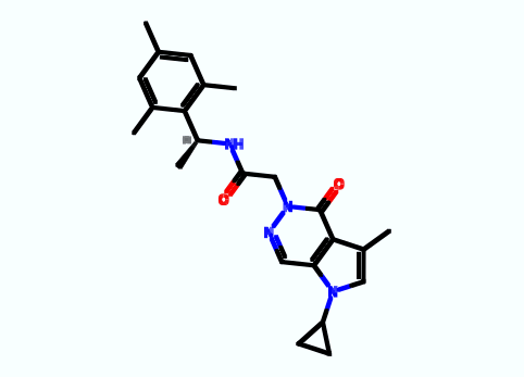 Cc1cc(C)c([C@H](C)NC(=O)Cn2ncc3c(c(C)cn3C3CC3)c2=O)c(C)c1